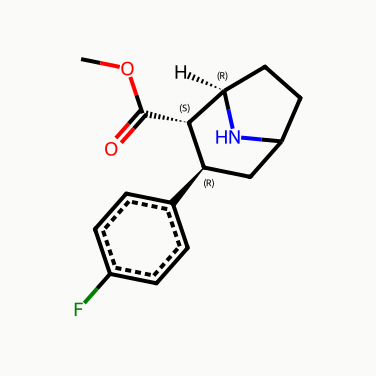 COC(=O)[C@@H]1[C@H]2CCC(C[C@H]1c1ccc(F)cc1)N2